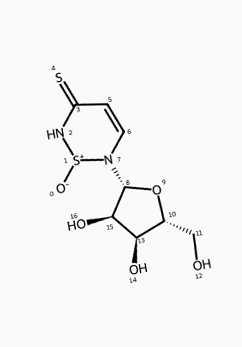 [O-][S+]1NC(=S)C=CN1[C@@H]1O[C@H](CO)[C@@H](O)[C@H]1O